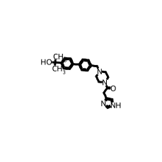 CC(C)(O)c1ccc(-c2ccc(CN3CCN(C(=O)Cc4c[nH]cn4)CC3)cc2)cc1